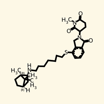 CN1C(=O)CCC(N2Cc3c(SCCCCCCCN[C@H]4C[C@H]5CC[C@]4(C)C5(C)C)cccc3C2=O)C1=O